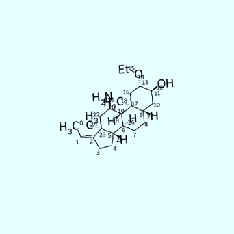 C/C=C1/CC[C@H]2[C@@H]3CC[C@H]4C[C@H](O)[C@@H](OCC)C[C@]4(C)[C@H]3[C@H](N)C[C@]12C